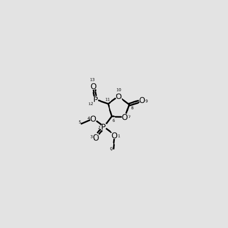 COP(=O)(OC)C1OC(=O)OC1P=O